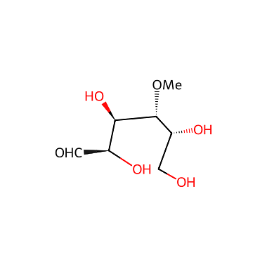 CO[C@@H]([C@H](O)[C@@H](O)C=O)[C@H](O)CO